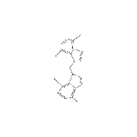 Cc1ccc(C)c2c1C=C[C]2C[C]1C=Cc2c(C)ccc(C)c21